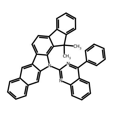 CC1(C)c2ccccc2-c2ccc3c4cc5ccccc5cc4n(-c4nc(-c5ccccc5)c5ccccc5n4)c3c21